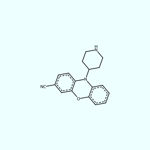 N#Cc1ccc2c(c1)Oc1ccccc1N2C1CCNCC1